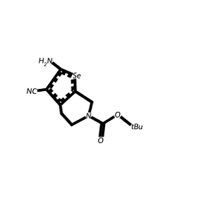 CC(C)(C)OC(=O)N1CCc2c([se]c(N)c2C#N)C1